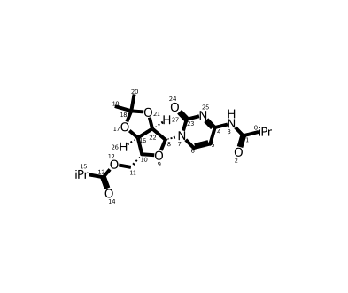 CC(C)C(=O)Nc1ccn([C@@H]2O[C@H](COC(=O)C(C)C)[C@H]3OC(C)(C)O[C@H]32)c(=O)n1